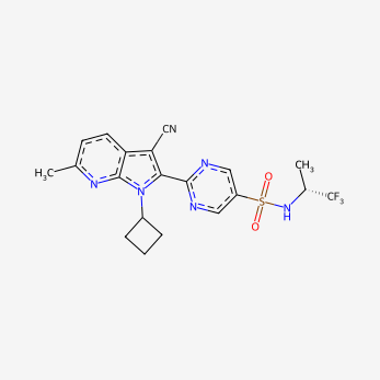 Cc1ccc2c(C#N)c(-c3ncc(S(=O)(=O)N[C@H](C)C(F)(F)F)cn3)n(C3CCC3)c2n1